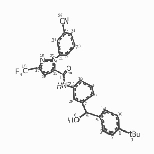 CC(C)(C)c1ccc(C(O)c2cccc(NC(=O)c3cc(C(F)(F)F)nn3-c3cccc(C#N)c3)c2)cc1